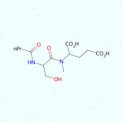 CCCC(=O)NC(CO)C(=O)N(C)C(CCC(=O)O)C(=O)O